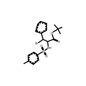 Cc1ccc(S(=O)(=O)NC(C(=O)OC(C)(C)C)C(Br)c2ccccc2)cc1